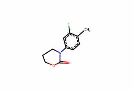 Cc1ccc(N2CCCOC2=O)cc1F